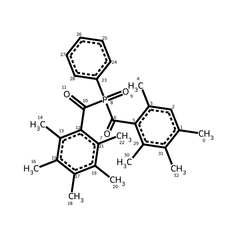 Cc1cc(C)c(C(=O)P(=O)(C(=O)c2c(C)c(C)c(C)c(C)c2C)c2ccccc2)c(C)c1C